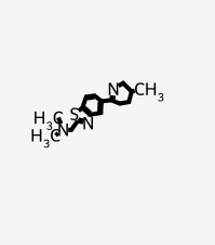 CC1CCC(c2ccc3sc(CN(C)C)nc3c2)=NC1